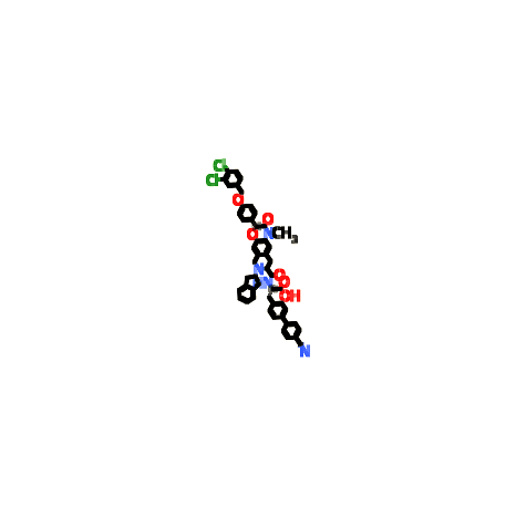 CN1C(=O)[C@H](c2ccc(OCc3ccc(Cl)c(Cl)c3)cc2)Oc2cc3c(cc21)CC(C(=O)N[C@@H](Cc1ccc(-c2ccc(C#N)cc2)cc1)C(=O)O)N(C1Cc2ccccc2C1)C3